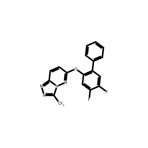 Fc1cc(Oc2ccc3nnc(C(F)(F)F)n3n2)c(-c2ccccc2)cc1F